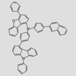 c1ccc(-c2ccc(N(c3ccc(-c4ccc5ccccc5c4)cc3)c3ccc(-c4cccc5c4c4ccccc4n5-c4ccccc4)cc3)c3c2oc2ccccc23)cc1